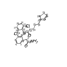 NC(=O)Cc1ccccc1N(C(=O)CCCC[C@H]1CCSS1)c1c(Cl)cccc1Cl